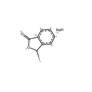 O=C1OC(I)c2ccccc21.[NaH]